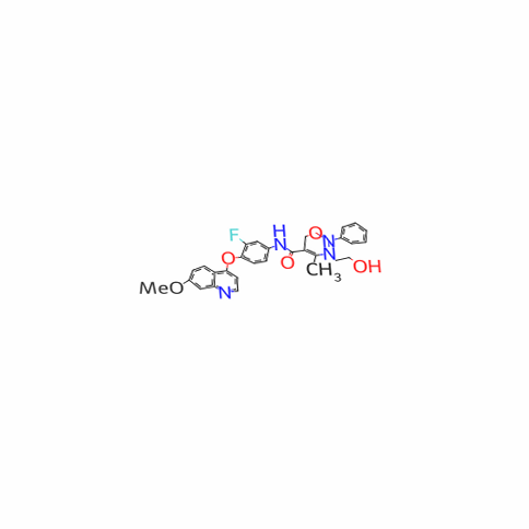 COc1ccc2c(Oc3ccc(NC(=O)C4=C(C)N(CCO)N(c5ccccc5)OC4)cc3F)ccnc2c1